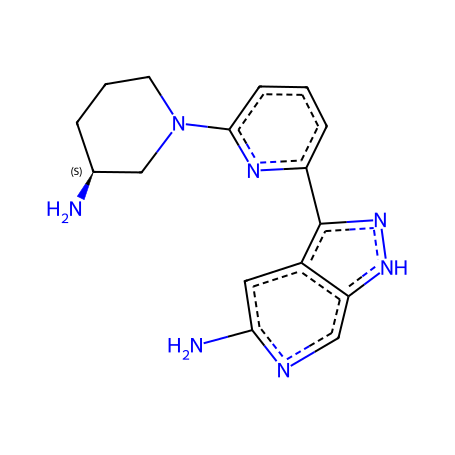 Nc1cc2c(-c3cccc(N4CCC[C@H](N)C4)n3)n[nH]c2cn1